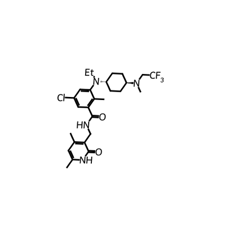 CCN(c1cc(Cl)cc(C(=O)NCc2c(C)cc(C)[nH]c2=O)c1C)[C@H]1CC[C@H](N(C)CC(F)(F)F)CC1